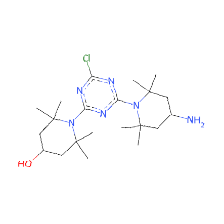 CC1(C)CC(N)CC(C)(C)N1c1nc(Cl)nc(N2C(C)(C)CC(O)CC2(C)C)n1